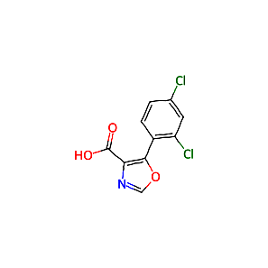 O=C(O)c1ncoc1-c1ccc(Cl)cc1Cl